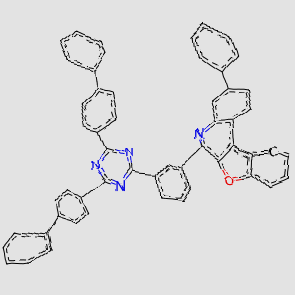 c1ccc(-c2ccc(-c3nc(-c4ccc(-c5ccccc5)cc4)nc(-c4cccc(-c5nc6cc(-c7ccccc7)ccc6c6c5oc5ccccc56)c4)n3)cc2)cc1